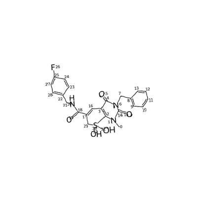 Cn1c2c(c(=O)n(Cc3ccccc3)c1=O)C=C(C(=O)NCc1ccc(F)cc1)CS2(O)O